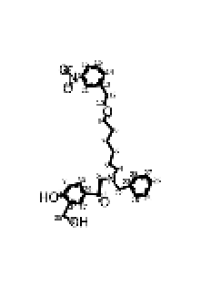 O=C(CN(CCCCCCOCCc1cccc([N+](=O)[O-])c1)Cc1ccccc1)c1ccc(O)c(CO)c1